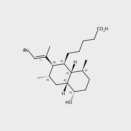 CCC(C)/C=C(\C)[C@H]1[C@@H](CCCCC(=O)O)[C@H]2[C@@H](C[C@@H]1C)[C@@H](O)CC[C@@H]2C